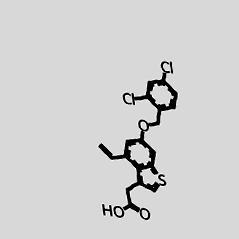 C=Cc1cc(OCc2ccc(Cl)cc2Cl)cc2scc(CC(=O)O)c12